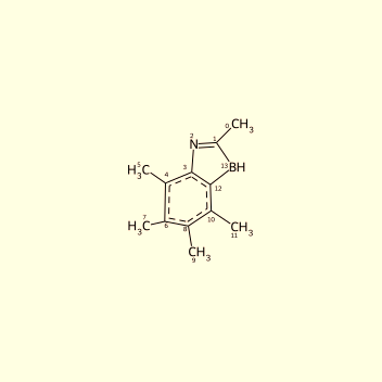 CC1=Nc2c(C)c(C)c(C)c(C)c2B1